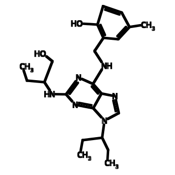 CCC(CO)Nc1nc(NCc2cc(C)ccc2O)c2ncn(C(CC)CC)c2n1